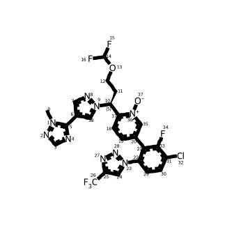 Cn1ncnc1-c1cnn([C@@H](CCOC(F)F)c2ccc(-c3c(-n4cc(C(F)(F)F)nn4)ccc(Cl)c3F)c[n+]2[O-])c1